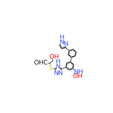 O=CC(CO)Sc1nnc(-c2cc(NO)cc(-c3cccc(-c4cc[nH]n4)c3)c2)[nH]1